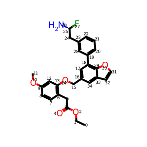 CCOC(=O)Cc1ccc(OC)cc1OCc1cc(-c2cccc(C[C@@H](N)F)c2)c2occc2c1